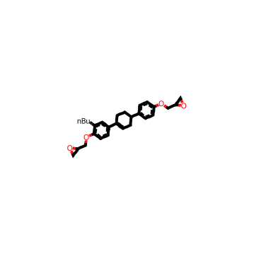 CCCCc1cc(C2=CCC(c3ccc(OCC4CO4)cc3)CC2)ccc1OCC1CO1